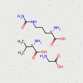 CC(C)[C@H](N)C(=O)O.NC(=O)NCCC[C@H](N)C(=O)O.NCC(=O)O